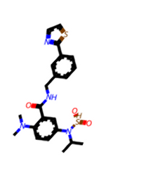 CC(C)N(c1ccc(N(C)C)c(C(=O)NCc2cccc(-c3nccs3)c2)c1)[SH](=O)=O